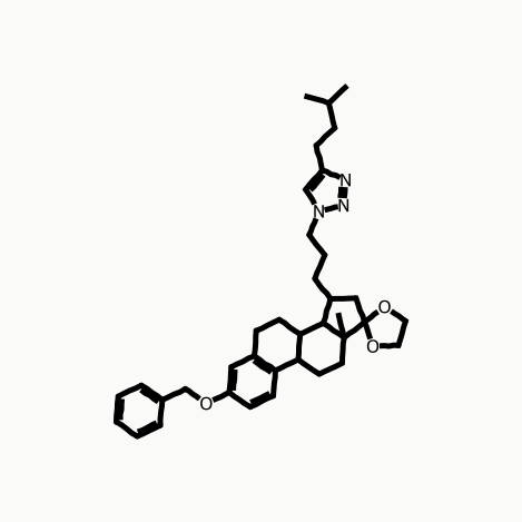 CC(C)CCc1cn(CCCC2CC3(OCCO3)C3(C)CCC4c5ccc(OCc6ccccc6)cc5CCC4C23)nn1